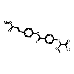 CCC(=O)C(Oc1ccc(C(=O)Oc2ccc(/C=C/C(=O)OC)cc2)cc1)[Si]C